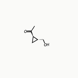 CC(=O)[C@@H]1C[C@H]1CO